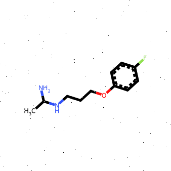 CC(N)NCCCOc1ccc(F)cc1